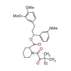 CCC(C)(C)C(=O)C(=O)N1CCCCC1C(=O)OC(CCc1ccc(OC)c(OC)c1)c1cccc(NC)c1